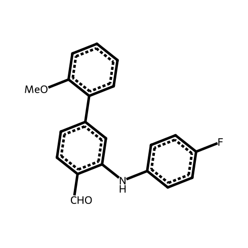 COc1ccccc1-c1ccc(C=O)c(Nc2ccc(F)cc2)c1